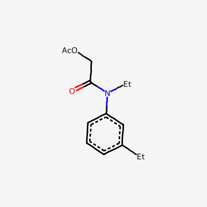 CCc1cccc(N(CC)C(=O)COC(C)=O)c1